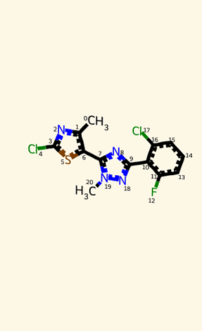 Cc1nc(Cl)sc1-c1nc(-c2c(F)cccc2Cl)nn1C